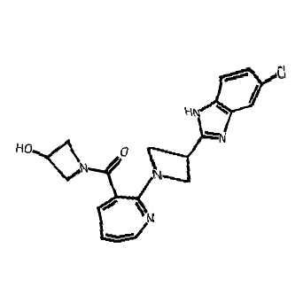 O=C(c1cccnc1N1CC(c2nc3cc(Cl)ccc3[nH]2)C1)N1CC(O)C1